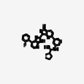 OC(Nc1cncc(-c2ccc3[nH]nc(-c4nc5c(-c6ccccc6F)ccnc5[nH]4)c3n2)c1)C1CCCC1